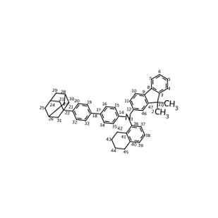 CC1(C)c2ccccc2-c2ccc(N(c3ccc(-c4ccc(C56CC7CC(CC(C7)C5)C6)cc4)cc3)c3cccc4c3CCCC4)cc21